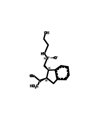 CC(C)(C)N(C(=O)O)[C@@H]1Cc2ccccc2[C@@H]1C[S@@+]([O-])NCCO